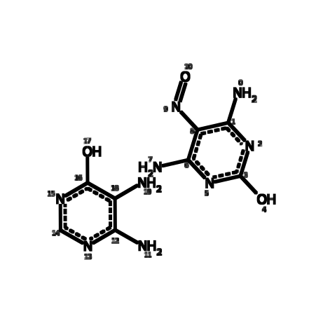 Nc1nc(O)nc(N)c1N=O.Nc1ncnc(O)c1N